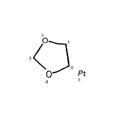 C1COCO1.[Pt]